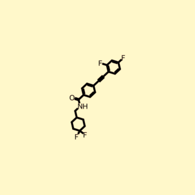 O=C(NCC1CCC(F)(F)CC1)c1ccc(C#Cc2ccc(F)cc2F)cc1